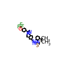 CCC(C)c1ccccc1N1CCS/C1=N/N=C/c1ccc2c(ccn3c(-c4ccc(OC(F)(F)F)cc4)cnc23)c1